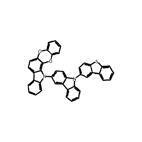 c1ccc2c(c1)Oc1ccc3c4ccccc4n(-c4ccc5c(c4)c4ccccc4n5-c4ccc5sc6ccccc6c5c4)c3c1O2